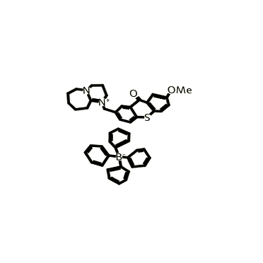 COc1ccc2sc3ccc(C[N+]4=C5CCCCCN5CCC4)cc3c(=O)c2c1.c1ccc([B-](c2ccccc2)(c2ccccc2)c2ccccc2)cc1